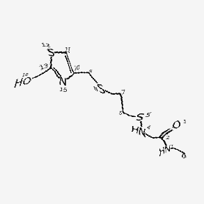 CNC(=O)NSCCSCc1csc(O)n1